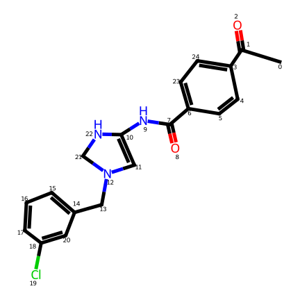 CC(=O)c1ccc(C(=O)NC2=CN(Cc3cccc(Cl)c3)CN2)cc1